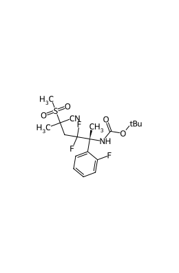 CC(C)(C)OC(=O)N[C@](C)(c1ccccc1F)C(F)(F)CC(C)(C#N)S(C)(=O)=O